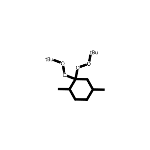 CC1CCC(C)C(OOC(C)(C)C)(OOC(C)(C)C)C1